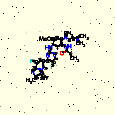 C=CC(=O)Nc1cc(Nc2ncc(F)c(-c3cc(F)c4nc(C)c(C(C)C)n4c3)n2)c(OC)cc1N(C)CCN(C)C